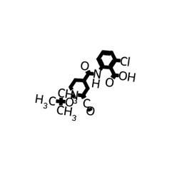 CC(C)(C)ON1CCC(C(=O)Nc2cccc(Cl)c2C(=O)O)CC1=C=O